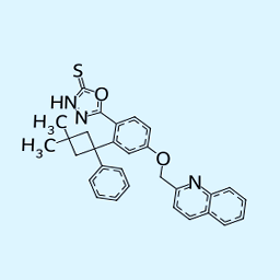 CC1(C)CC(c2ccccc2)(c2cc(OCc3ccc4ccccc4n3)ccc2-c2n[nH]c(=S)o2)C1